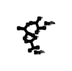 O=C([O-])C(=O)[O-].O=C([O-])C(=O)[O-].O=C([O-])C(=O)[O-].[Sm+3].[Sm+3]